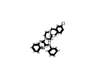 Clc1ccc(Cl)c(CN2CCN(c3nc4ccccc4nc3Nc3ccccc3)CC2)c1